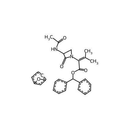 CC(=O)NC1CN(C(C(=O)OC(c2ccccc2)c2ccccc2)=C(C)C)C1=O.c1cc2cc(c1)O2